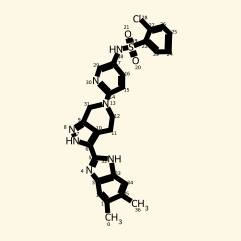 Cc1cc2nc(-c3[nH]nc4c3CCN(c3ccc(NS(=O)(=O)c5ccccc5Cl)cn3)C4)[nH]c2cc1C